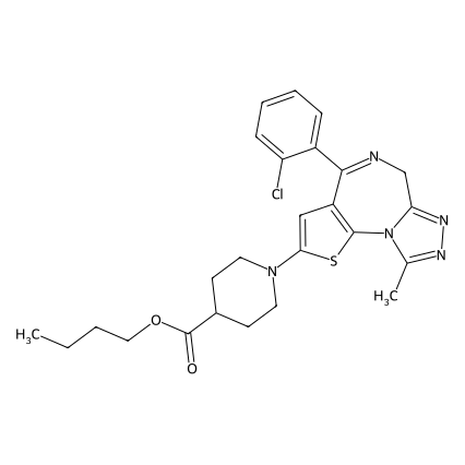 CCCCOC(=O)C1CCN(c2cc3c(s2)-n2c(C)nnc2CN=C3c2ccccc2Cl)CC1